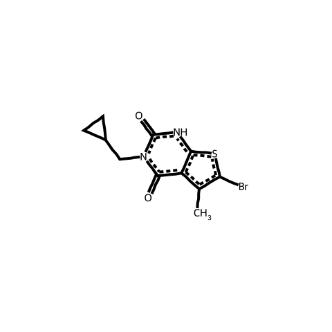 Cc1c(Br)sc2[nH]c(=O)n(CC3CC3)c(=O)c12